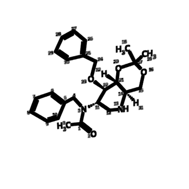 CC(=O)N(Cc1ccccc1)[C@H]1CN[C@@H]2COC(C)(C)O[C@H]2[C@@H]1OCc1ccccc1